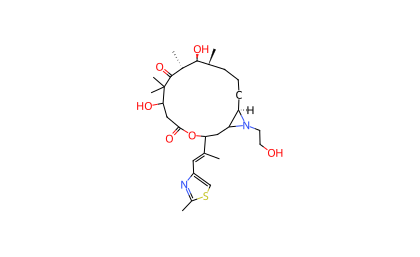 C/C(=C\c1csc(C)n1)C1CC2[C@@H](CCC[C@H](C)[C@H](O)[C@@H](C)C(=O)C(C)(C)C(O)CC(=O)O1)N2CCO